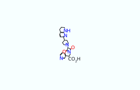 O=C(O)[C@H](CN1C(=O)C(N2CCC(c3ccc4c(n3)NCCC4)CC2)C1=O)c1cccnc1